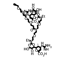 C#CCOCCOCCOCCOCCC(=O)N(CCOCCN(CC)C(=O)O[C@@H]([C@@H]1OC(C(=O)O)=C[C@H](NC(=N)N)[C@H]1C)[C@H](O)CO)CCOCCN(CC)C(=O)O[C@@H]([C@@H]1OC(C(=O)O)=C[C@H](NC(=N)N)[C@H]1NC(C)=O)[C@H](O)CO